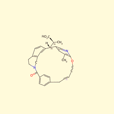 Cc1cc2cnc1OCC/C=C/Cc1ccc(cc1)C(=O)N1CCc3ccc(cc3C1)[C@@H]2[C@H](C)C(=O)O